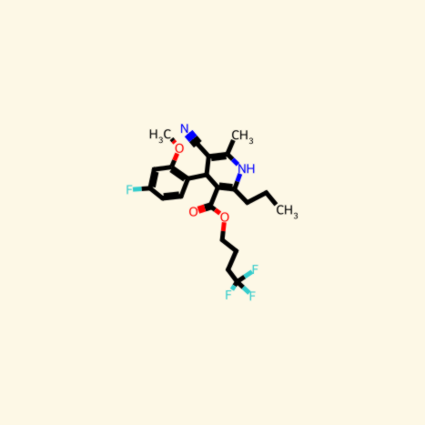 CCCC1=C(C(=O)OCCCC(F)(F)F)C(c2ccc(F)cc2OC)C(C#N)=C(C)N1